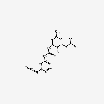 CC(C)CNC(=O)[C@H](CC(C)C)NC(=S)Nc1cccc(N=C=S)c1